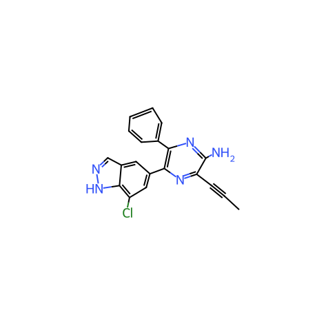 CC#Cc1nc(-c2cc(Cl)c3[nH]ncc3c2)c(-c2ccccc2)nc1N